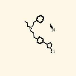 CC#N.CCCN(CCCc1ccc(C2CCC(Cl)C2)cc1)CCc1ccccc1